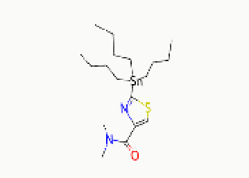 CCC[CH2][Sn]([CH2]CCC)([CH2]CCC)[c]1nc(C(=O)N(C)C)cs1